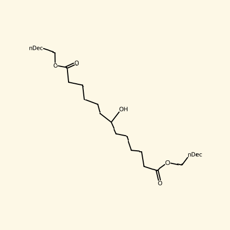 CCCCCCCCCCCOC(=O)CCCCCC(O)CCCCCC(=O)OCCCCCCCCCCC